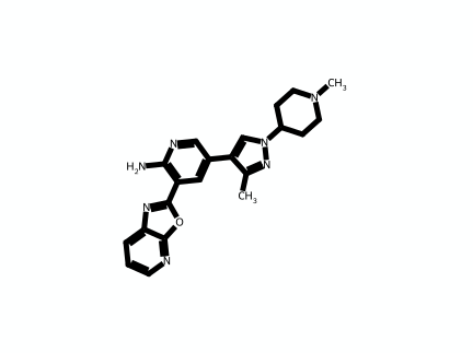 Cc1nn(C2CCN(C)CC2)cc1-c1cnc(N)c(-c2nc3cccnc3o2)c1